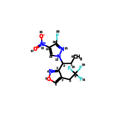 CCC(c1nocc1CC(F)(F)F)n1cc([N+](=O)[O-])c(F)n1